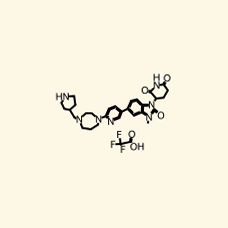 Cn1c(=O)n(C2CCC(=O)NC2=O)c2ccc(-c3ccc(N4CCCN(CC5CCNCC5)CC4)nc3)cc21.O=C(O)C(F)(F)F